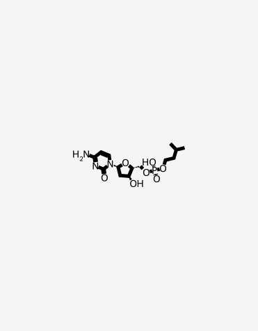 CC(C)CCOP(=O)(O)OC[C@H]1O[C@@H](n2ccc(N)nc2=O)C[C@@H]1O